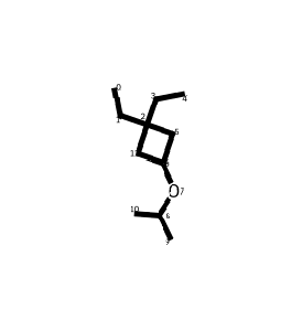 CCC1(CC)CC(OC(C)C)C1